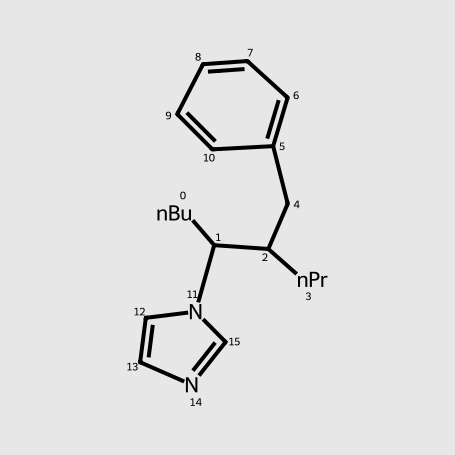 CCCCC(C(CCC)Cc1ccccc1)n1ccnc1